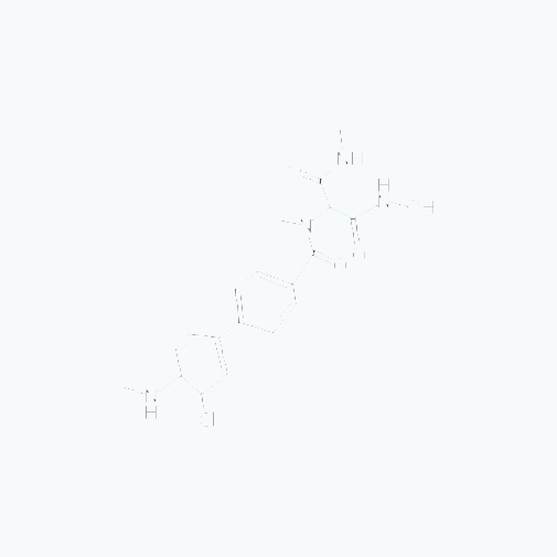 CNC(=O)C(C(=O)NO)N(C)C(=O)c1ccc(-c2ccc(NC)c(Cl)c2)cc1